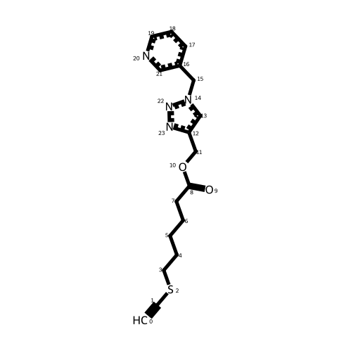 C#CSCCCCCC(=O)OCc1cn(Cc2cccnc2)nn1